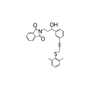 Cc1cccc(C)c1SCC#Cc1cccc(C(O)CCN2C(=O)c3ccccc3C2=O)c1